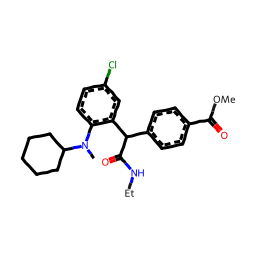 CCNC(=O)C(c1ccc(C(=O)OC)cc1)c1cc(Cl)ccc1N(C)C1CCCCC1